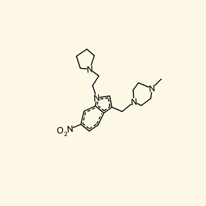 CN1CCN(Cc2cn(CCN3CCCC3)c3cc([N+](=O)[O-])ccc23)CC1